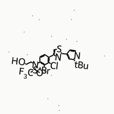 CC(C)(C)c1cc(-c2nc(-c3ccc(N(CCO)[S+]([O-])C(F)(F)F)c(Br)c3Cl)cs2)ccn1